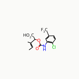 CC=C(C)C(OC(=O)Nc1cc(C(F)(F)F)ccc1Cl)C(=O)O